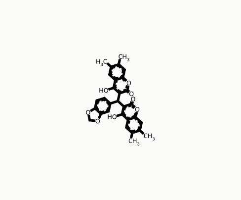 Cc1cc2oc(=O)c(C(c3ccc4c(c3)OCO4)c3c(O)c4cc(C)c(C)cc4oc3=O)c(O)c2cc1C